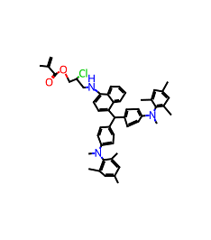 C=C(C)C(=O)OCC(Cl)CNc1ccc(C(c2ccc(N(C)c3c(C)cc(C)cc3C)cc2)c2ccc(N(C)c3c(C)cc(C)cc3C)cc2)c2ccccc12